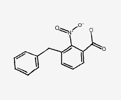 O=C(Cl)c1cccc(Cc2ccccc2)c1[N+](=O)[O-]